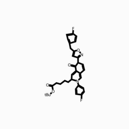 CC(C)(C)OC(=O)CCCCC1C=C2C(=O)C(c3cc(Cc4ccc(F)cc4)on3)C=CC2=CN1c1ccc(F)cc1